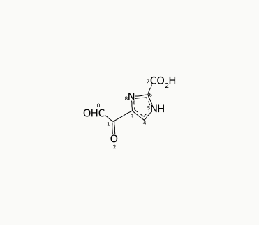 O=CC(=O)c1c[nH]c(C(=O)O)n1